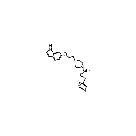 O=C(OCc1cncs1)N1CCC(CCOc2ccc3cc[nH]c3c2)CC1